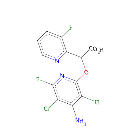 Nc1c(Cl)c(F)nc(OC(C(=O)O)c2ncccc2F)c1Cl